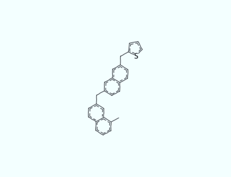 Cc1cccc2ccc(Cc3ccc4ccc(Cc5cccs5)cc4c3)cc12